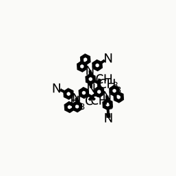 CC1(C)c2cc(N(c3ccc(C#N)cc3)c3cccc4ccccc34)ccc2N2c3ccc(N(c4ccc(C#N)cc4)c4cccc5ccccc45)cc3C(C)(C)c3cc(N(c4ccc(C#N)cc4)c4cccc5ccccc45)cc1c32